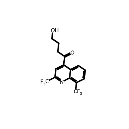 O=C(CCCO)c1cc(C(F)(F)F)nc2c(C(F)(F)F)cccc12